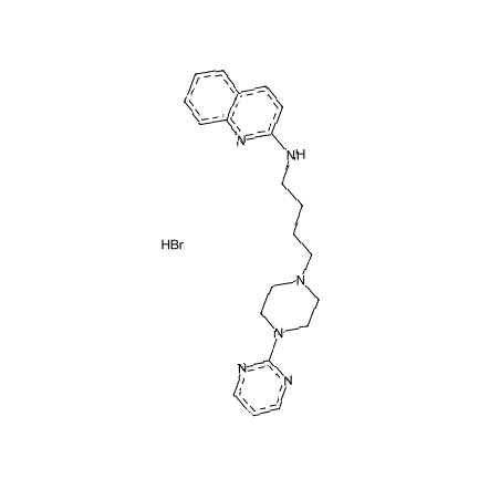 Br.c1cnc(N2CCN(CCCCNc3ccc4ccccc4n3)CC2)nc1